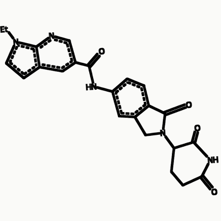 CCn1ccc2cc(C(=O)Nc3ccc4c(c3)CN(C3CCC(=O)NC3=O)C4=O)cnc21